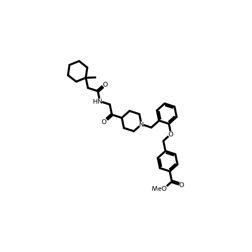 COC(=O)c1ccc(COc2ccccc2CN2CCC(C(=O)CNC(=O)CC3(C)CCCCC3)CC2)cc1